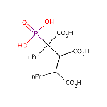 CCCC(C(=O)O)C(C(=O)O)C(CCC)(C(=O)O)P(=O)(O)O